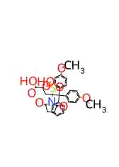 COc1ccc(C(c2ccccc2)(c2ccc(OC)cc2)C(CCC(=O)O)(N2C(=O)CCC2=O)S(=O)(=O)O)cc1